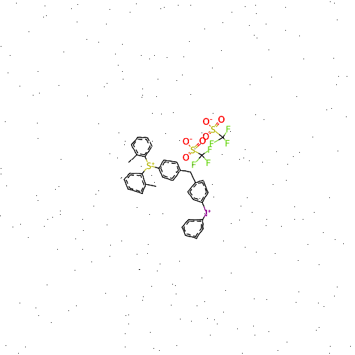 Cc1ccccc1[S+](c1ccc(Cc2ccc([I+]c3ccccc3)cc2)cc1)c1ccccc1C.O=S(=O)([O-])C(F)(F)F.O=S(=O)([O-])C(F)(F)F